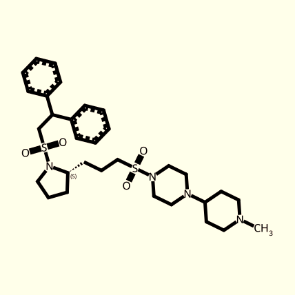 CN1CCC(N2CCN(S(=O)(=O)CCC[C@@H]3CCCN3S(=O)(=O)CC(c3ccccc3)c3ccccc3)CC2)CC1